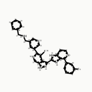 Fc1cccc(-c2nccc3[nH]c(-c4n[nH]c5cnc(-c6cncc(CNCc7ccccc7)c6)c(F)c45)nc23)c1